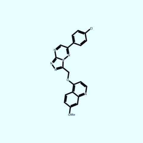 COc1ccc2c(OCc3nnc4ncc(-c5ccc(Cl)cc5)nn34)ccnc2c1